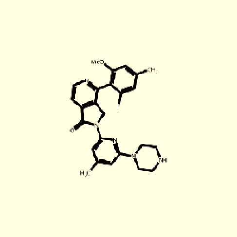 COc1cc(C)cc(F)c1-c1nccc2c1CN(c1cc(C)cc(N3CCNCC3)n1)C2=O